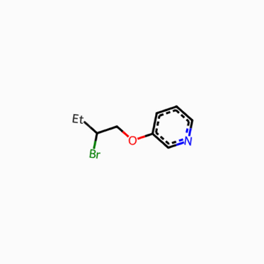 CCC(Br)COc1cccnc1